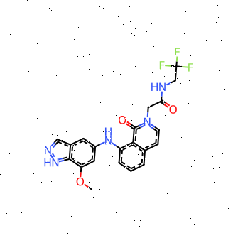 COc1cc(Nc2cccc3ccn(CC(=O)NCC(F)(F)F)c(=O)c23)cc2cn[nH]c12